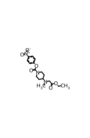 CCOC(=O)CN(C)C1CCN(C(=O)Oc2ccc([N+](=O)[O-])cc2)CC1